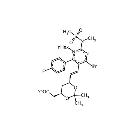 CCCCCC[n+]1c(N(C)S(C)(=O)=O)nc(C(C)C)c(/C=C/[C@@H]2C[C@H](CC(=O)[O-])OC(C)(C)O2)c1-c1ccc(F)cc1